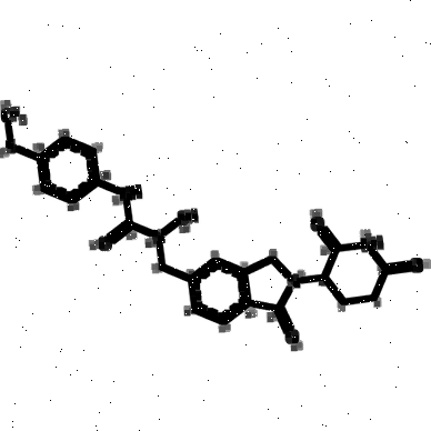 O=C1CCC(N2Cc3cc(CN(S)C(=O)Nc4ccc(SC(F)(F)F)cc4)ccc3C2=O)C(=O)N1